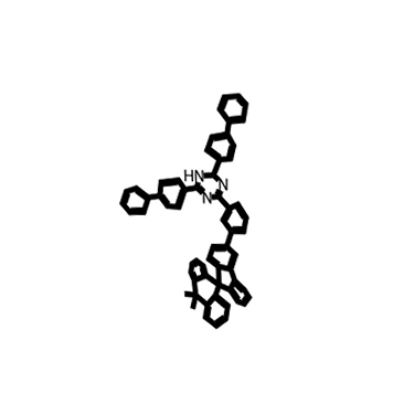 CC1(C)c2ccccc2C2(c3ccccc3-c3cc(-c4cccc(C5=NC(c6ccc(-c7ccccc7)cc6)NC(c6ccc(-c7ccccc7)cc6)=N5)c4)ccc32)c2ccccc21